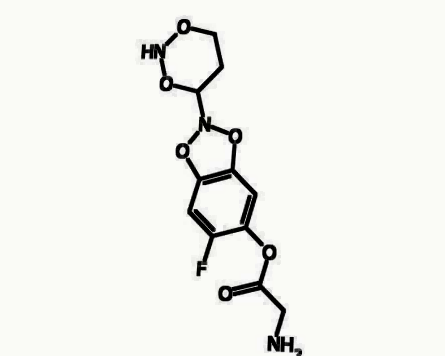 NCC(=O)Oc1cc2c(cc1F)ON(C1CCONO1)O2